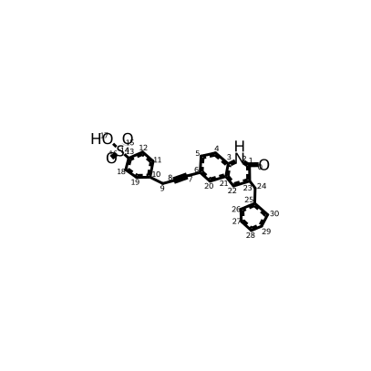 O=c1[nH]c2ccc(C#CCc3ccc(S(=O)(=O)O)cc3)cc2cc1Cc1ccccc1